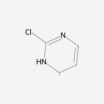 ClC1=NC=C[CH]N1